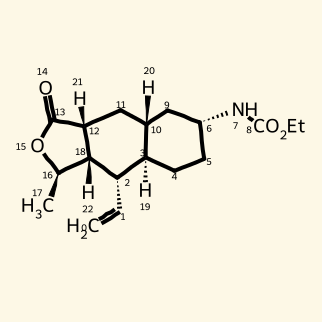 C=C[C@H]1[C@@H]2CC[C@@H](NC(=O)OCC)C[C@H]2C[C@H]2C(=O)O[C@H](C)[C@@H]12